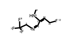 CNC(/C=N\CC(F)(F)F)=C/CF